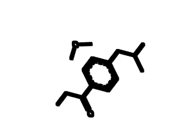 CCC(=O)c1ccc(CC(C)C)cc1.COC